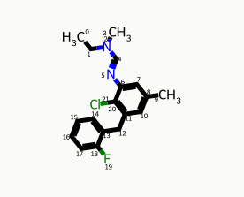 CCN(C)C=Nc1cc(C)cc(Cc2ccccc2F)c1Cl